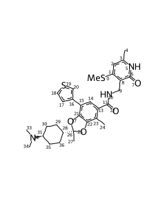 CSc1cc(C)[nH]c(=O)c1CNC(=O)c1cc(-c2ccsc2)c2c(c1C)OC(C)([C@H]1CC[C@H](N(C)C)CC1)O2